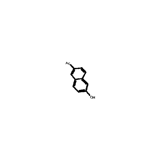 CC(=O)c1ccc2cc(O)ccc2c1